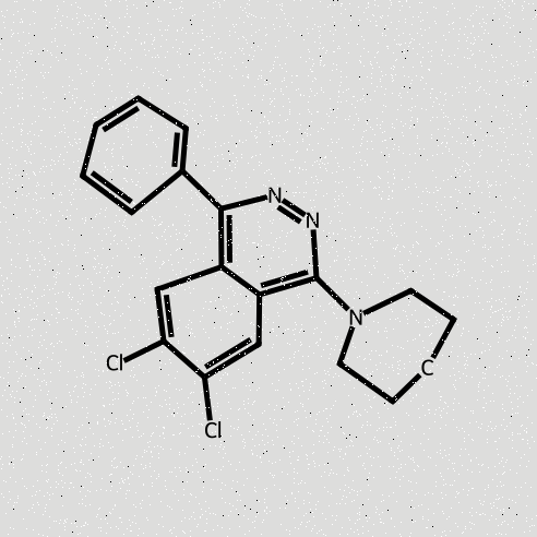 Clc1cc2c(-c3ccccc3)nnc(N3CCCCC3)c2cc1Cl